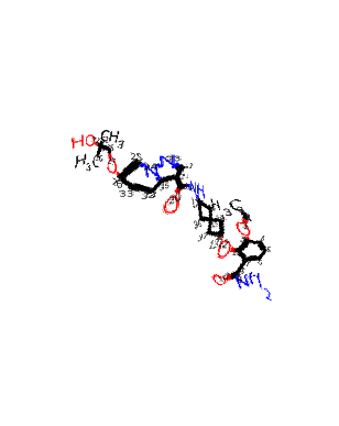 CCOc1cccc(C(N)=O)c1OC1CC2(CC(NC(=O)c3cnn4cc(OCC(C)(C)O)ccc34)C2)C1